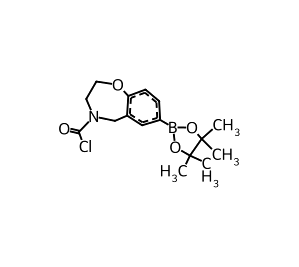 CC1(C)OB(c2ccc3c(c2)CN(C(=O)Cl)CCO3)OC1(C)C